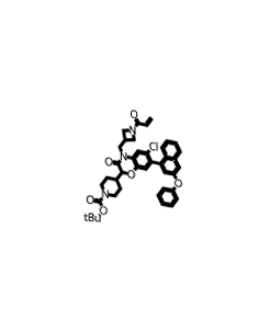 C=CC(=O)N1CC(CN2C(=O)C(C3CCN(C(=O)OC(C)(C)C)CC3)Oc3cc(-c4cc(Oc5ccccc5)cc5ccccc45)c(Cl)cc32)C1